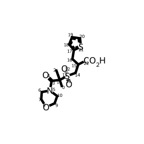 CC(C)(C(=O)N1CCOCC1)S(=O)(=O)CC(Cc1cccs1)C(=O)O